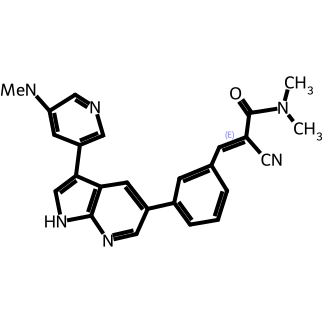 CNc1cncc(-c2c[nH]c3ncc(-c4cccc(/C=C(\C#N)C(=O)N(C)C)c4)cc23)c1